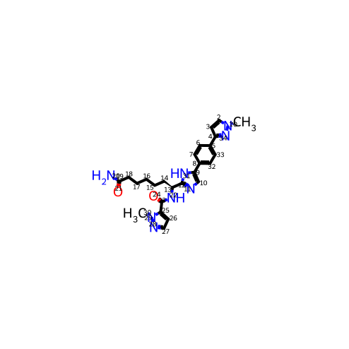 Cn1ccc(-c2ccc(-c3cnc([C@H](CCCCCC(N)=O)NC(=O)c4ccnn4C)[nH]3)cc2)n1